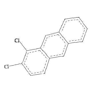 Clc1ccc2cc3ccccc3cc2c1Cl